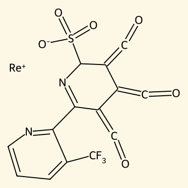 O=C=C1C(=C=O)C(c2ncccc2C(F)(F)F)=NC(S(=O)(=O)[O-])C1=C=O.[Re+]